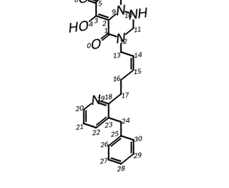 O=C1c2c(O)c(=O)ccn2NCN1C/C=C\CCc1ncccc1Cc1ccccc1